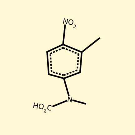 Cc1cc(N(C)C(=O)O)ccc1[N+](=O)[O-]